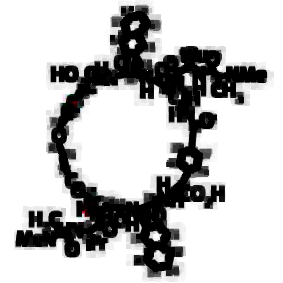 CN[C@@H](C)C(=O)N[C@H](C(=O)N1C[C@@H]2C[C@H]1C(=O)N[C@@H](Cc1ccc3ccccc3c1)C(=O)N[C@H](C(=O)O)Cc1ccc(cc1)C(=O)N[C@H]1C[C@@H](C(=O)N[C@@H](Cc3ccc4ccccc4c3)C(=O)N[C@H](C(=O)O)Cc3ccc(cc3)OC/C=C/CO2)N(C(=O)[C@@H](NC(=O)[C@H](C)NC)C(C)(C)C)C1)C(C)C